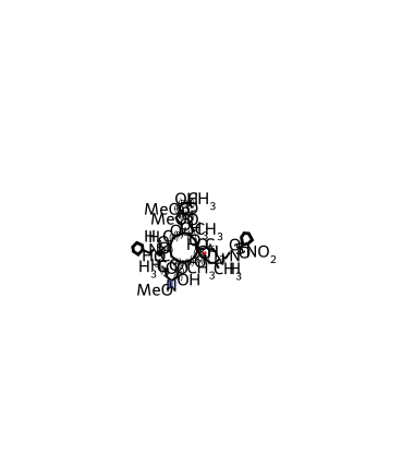 CO/N=C1\C[C@@H](C)O[C@@H](O[C@@H]2[C@@H](C)[C@H](O[C@H]3CC(C)N(CCNS(=O)(=O)c4ccccc4[N+](=O)[O-])C[C@H](C)O3)[C@@H](C)C(=O)O[C@H](C(C)CO[C@@H]3O[C@H](C)[C@@H](O)[C@@H](OC)[C@H]3OC)[C@H](C)[C@@H](OC(=O)CC(C)C)[C@@H](C)C(=O)[C@@](C)(OC(=O)NCc3ccccc3)C[C@@H]2C)[C@@H]1O